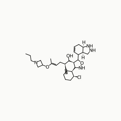 C#C[C@@H](C/C=C(\C)OC1CN(CCC)C1)C(O)[C@H]1C(C2C=CC[C@H]3NNC[C@@H]23)ONC1[C@@H]1CCCC[C@@H]1Cl